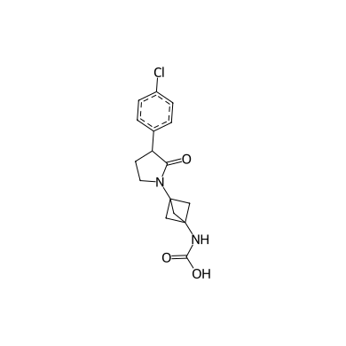 O=C(O)NC12CC(N3CCC(c4ccc(Cl)cc4)C3=O)(C1)C2